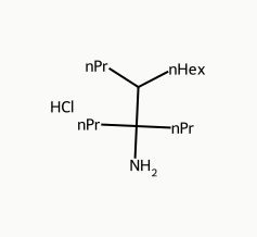 CCCCCCC(CCC)C(N)(CCC)CCC.Cl